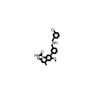 COc1cc2c(C)cc3n[nH]c(=O)n3c2cc1-c1cccc(CNCc2cccc(Cl)c2)c1